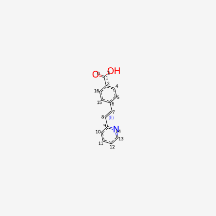 O=C(O)c1ccc(/C=C/c2ccccn2)cc1